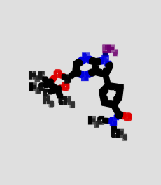 CN(C)C(=O)c1ccc(-c2cn(P)c3ncc(B4OC(C)(C)C(C)(C)O4)nc23)cc1